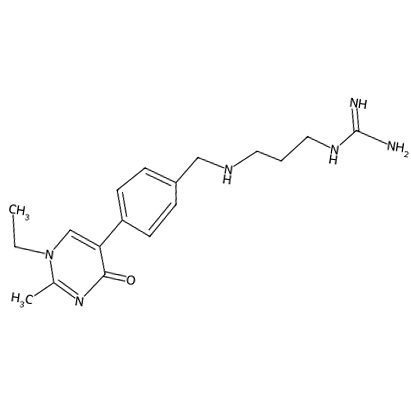 CCn1cc(-c2ccc(CNCCCNC(=N)N)cc2)c(=O)nc1C